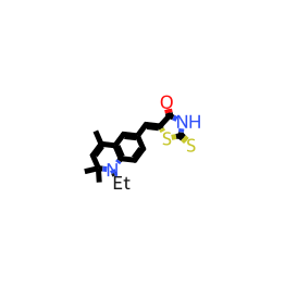 CCN1c2ccc(/C=C3\SC(=S)NC3=O)cc2C(C)=CC1(C)C